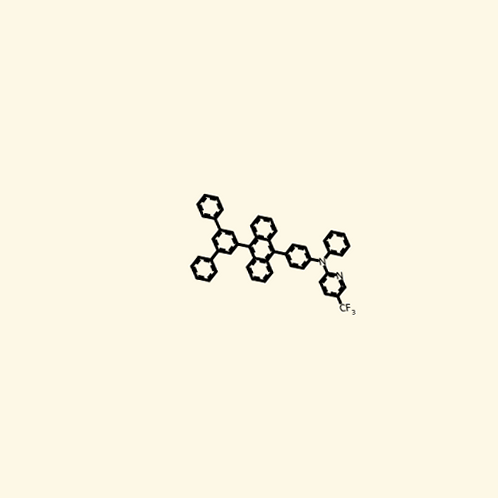 FC(F)(F)c1ccc(N(c2ccccc2)c2ccc(-c3c4ccccc4c(-c4cc(-c5ccccc5)cc(-c5ccccc5)c4)c4ccccc34)cc2)nc1